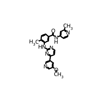 COc1cncc(-c2ccnc(Nc3cc(C(=O)Nc4ccnc(C)c4)ccc3C)n2)c1